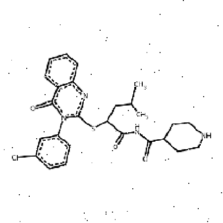 CC(C)CC(Sc1nc2ccccc2c(=O)n1-c1cccc(Cl)c1)C(=O)NC(=O)C1CCNCC1